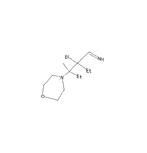 CCC(C=N)(CC)C(C)(CC)N1CCOCC1